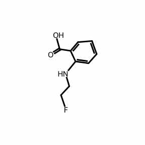 O=C(O)c1ccccc1NCCF